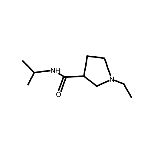 CCN1CCC(C(=O)NC(C)C)C1